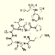 CC[C@H](C)[C@H](NC(=O)[C@@H](NC(=O)[C@@H](NC(=O)[C@@H](N)CCCCN)C(C)C)C(C)C)C(=O)N[C@H](C(=O)N[C@@H](C)C(=O)N1CCC[C@H]1C(=O)N[C@@H](CO)C(=O)N[C@@H](CO)C(=O)O)[C@@H](C)O